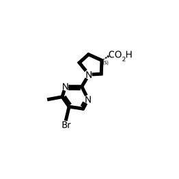 Cc1nc(N2CC[C@H](C(=O)O)C2)ncc1Br